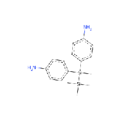 C[Si](C)(C)[Si](C)(c1ccc(N)cc1)c1ccc(N)cc1